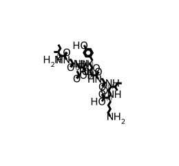 CCC(C)[C@H](N)C(=O)NCC(=O)N[C@@H](CC(=O)O)C(=O)N[C@@H](Cc1ccc(O)cc1)C(=O)N[C@@H](C)C(=O)NCC(=O)N[C@H](C(=O)N[C@@H](CCCCN)C(=O)O)C(C)CC